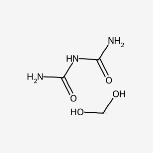 NC(=O)NC(N)=O.O[CH]O